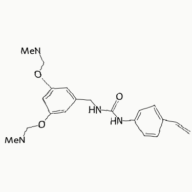 C=Cc1ccc(NC(=O)NCc2cc(OCNC)cc(OCNC)c2)cc1